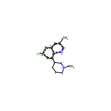 Cc1cnc2c(C3CCCN(C)C3)cc(Cl)cc2c1